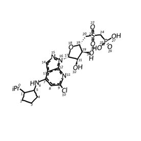 CC(C)C1CCCC1Nc1cc(Cl)nc2c1cnn2[C@@H]1O[C@H](CS(=O)(=O)CP(=O)(O)O)[C@@H](O)[C@H]1O